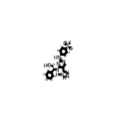 Cn1nnnc1-c1cnc(Nc2ccc(S(C)(=O)=O)cc2)nc1N[C@H](CO)c1ccccc1